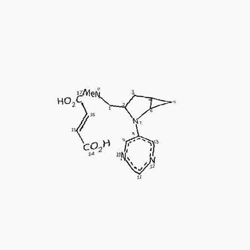 CNCC1CC2CC2N1c1cncnc1.O=C(O)/C=C/C(=O)O